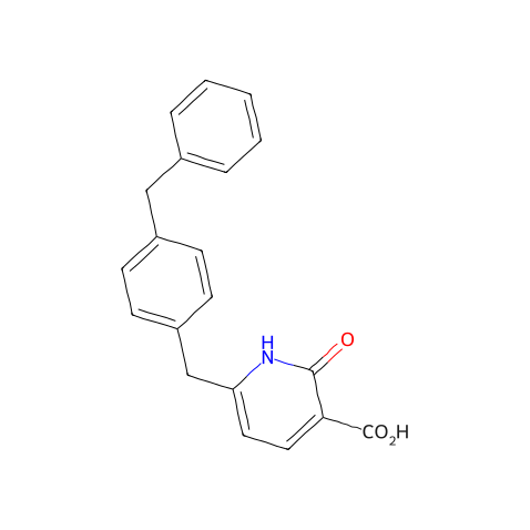 O=C(O)c1ccc(Cc2ccc(Cc3ccccc3)cc2)[nH]c1=O